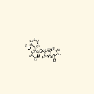 COc1ccccc1-c1cccnc1Oc1cnc2c(c1)CCCC2=O